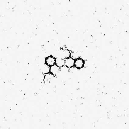 COC(=O)c1ccccc1SSSc1ccccc1C(=O)OC